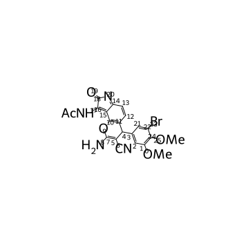 COc1cc(C2C(C#N)=C(N)Oc3c2ccc2c3=C(NC(C)=O)C(=O)N=2)cc(Br)c1OC